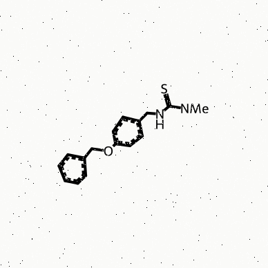 CNC(=S)NCc1ccc(OCc2ccccc2)cc1